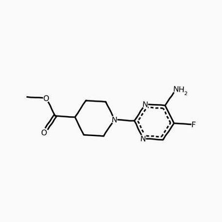 COC(=O)C1CCN(c2ncc(F)c(N)n2)CC1